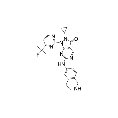 CC(C)(F)c1ccnc(-n2c3nc(Nc4ccc5c(c4)CCNC5)ncc3c(=O)n2C2CC2)n1